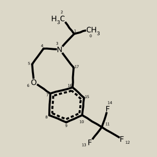 CC(C)N1CCOc2ccc(C(F)(F)F)cc2C1